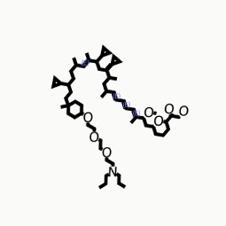 CCCN(CCC)CCOCCOCCOC1CCC(C)(CCC(CCC(C)/C=C(\C)C(CC(=C2CC2)C(C)CC(C)/C=C/C=C/C=C(\C)C(CC2CCCC(C(=O)C=O)O2)OC)C2CC2)C2CC2)CC1